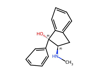 CN[C@@H]1Cc2ccccc2[C@]1(O)c1ccccc1